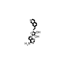 Nc1ncnc2c1ccn2[C@@H]1O[C@H](CCc2ccc3ccncc3c2)[C@@H](O)[C@H]1O